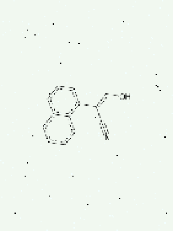 N#C/C(=C\O)c1cccc2ccccc12